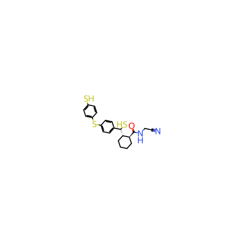 N#CCNC(=O)[C@H]1CCCC[C@@H]1C(S)c1ccc(Sc2ccc(S)cc2)cc1